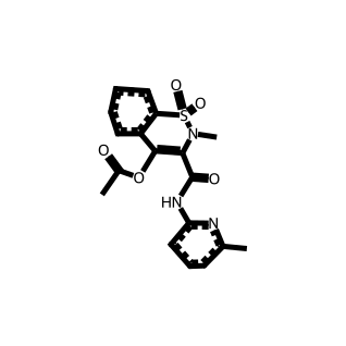 CC(=O)OC1=C(C(=O)Nc2cccc(C)n2)N(C)S(=O)(=O)c2ccccc21